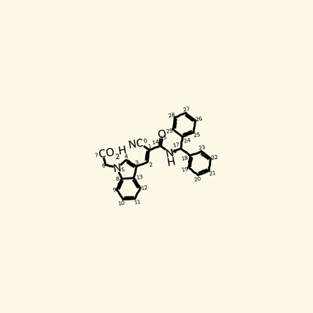 N#C/C(=C\c1cn(CC(=O)O)c2ccccc12)C(=O)NC(c1ccccc1)c1ccccc1